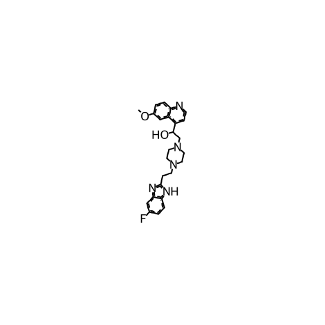 COc1ccc2nccc(C(O)CN3CCN(CCc4nc5cc(F)ccc5[nH]4)CC3)c2c1